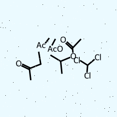 CC(=O)OC(C)C.CC(C)=O.CCC(C)=O.COC(C)=O.ClC(Cl)Cl